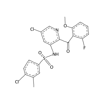 COc1cccc(F)c1C(=O)c1ncc(Cl)cc1NS(=O)(=O)c1ccc(Cl)c(C)c1